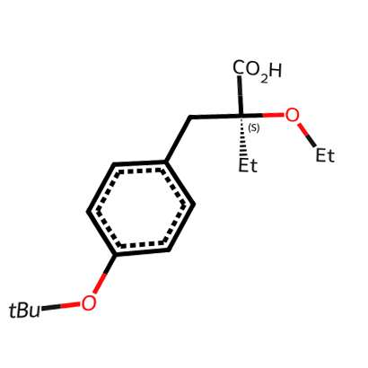 CCO[C@@](CC)(Cc1ccc(OC(C)(C)C)cc1)C(=O)O